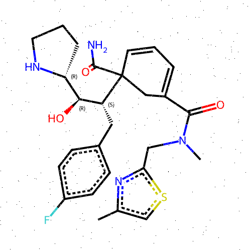 Cc1csc(CN(C)C(=O)C2=CC=CC(C(N)=O)([C@H](Cc3ccc(F)cc3)[C@@H](O)[C@H]3CCCN3)C2)n1